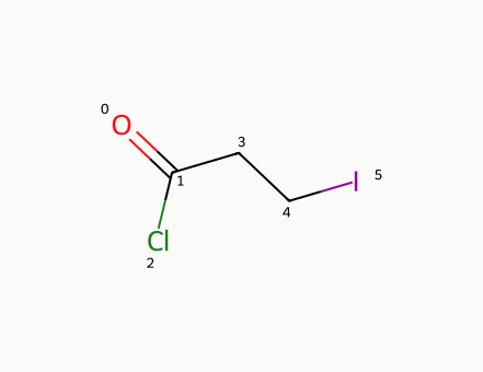 O=C(Cl)CCI